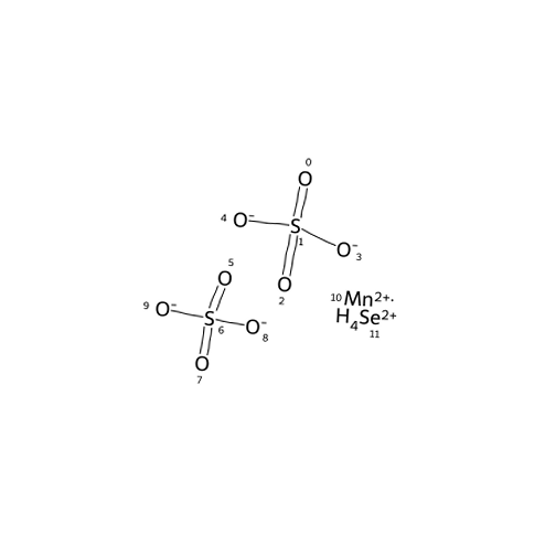 O=S(=O)([O-])[O-].O=S(=O)([O-])[O-].[Mn+2].[SeH4+2]